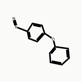 [N]=Nc1ccc(Oc2ccccc2)cc1